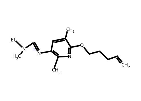 C=CCCCOc1nc(C)c(/N=C/N(C)CC)cc1C